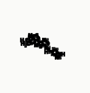 CSCc1c2c(nc3sc4c(NCCc5ccc6[nH]cnc6c5)ncnc4c13)CC(C)(C)OC2